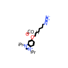 CC(C)n1c[n+](C(C)C)c2ccc(OCCCCCCN=[N+]=[N-])cc21.O=C([O-])O